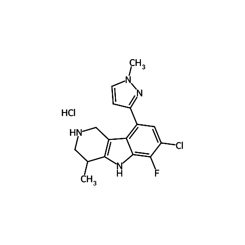 CC1CNCc2c1[nH]c1c(F)c(Cl)cc(-c3ccn(C)n3)c21.Cl